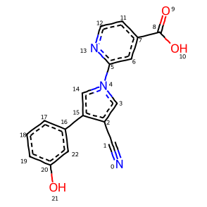 N#Cc1cn(-c2cc(C(=O)O)ccn2)cc1-c1cccc(O)c1